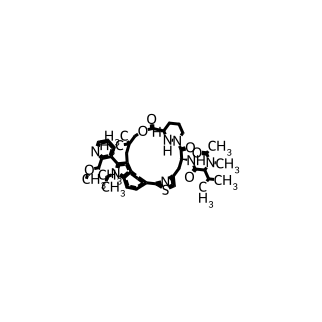 CCn1c(-c2cccnc2[C@H](C)OC)c2c3cc(ccc31)-c1nc(cs1)C[C@H](NC(=O)C(C(C)C)N(C)C(C)=O)C(=O)N1CCC[C@H](N1)C(=O)OCC(C)(C)C2